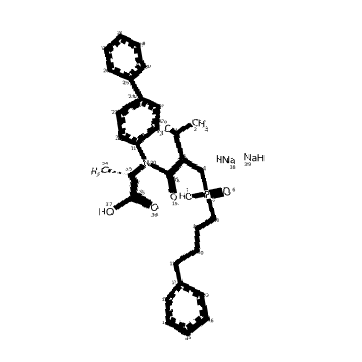 CC(C)C(CP(=O)(O)CCCCc1ccccc1)C(=O)N(c1ccc(-c2ccccc2)cc1)[C@@H](C)C(=O)O.[NaH].[NaH]